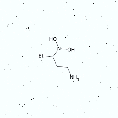 CCC(CCN)N(O)O